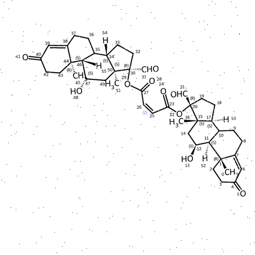 C[C@]12CCC(=O)C=C1CCC1[C@@H]2[C@@H](O)C[C@@]2(C)[C@H]1CC[C@@]2(C=O)OC(=O)/C=C\C(=O)O[C@]1(C=O)CC[C@H]2C3CCC4=CC(=O)CC[C@]4(C)[C@H]3[C@@H](O)C[C@@]21C